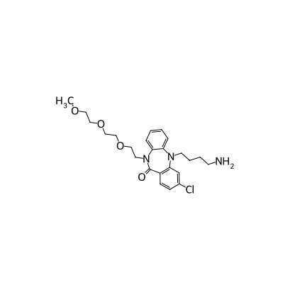 COCCOCCOCCN1C(=O)c2ccc(Cl)cc2N(CCCCN)c2ccccc21